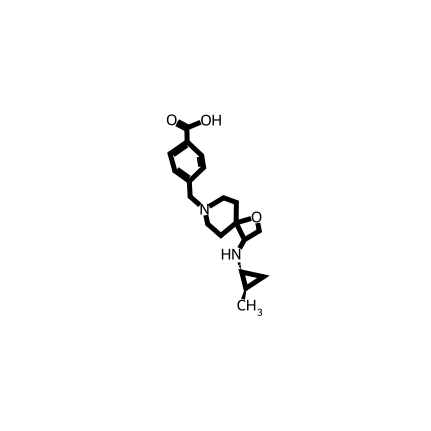 C[C@@H]1C[C@H]1NC1COC12CCN(Cc1ccc(C(=O)O)cc1)CC2